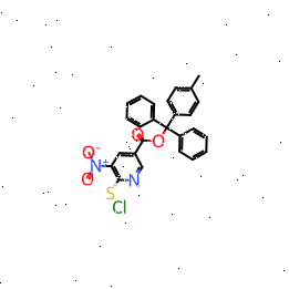 Cc1ccc(C(OC(=O)c2cnc(SCl)c([N+](=O)[O-])c2)(c2ccccc2)c2ccccc2)cc1